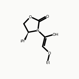 CCO/C=C(\O)N1C(=O)OC[C@@H]1C(C)C